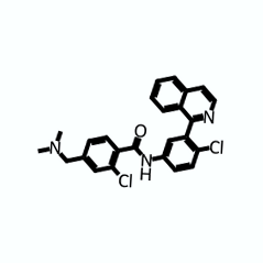 CN(C)Cc1ccc(C(=O)Nc2ccc(Cl)c(-c3nccc4ccccc34)c2)c(Cl)c1